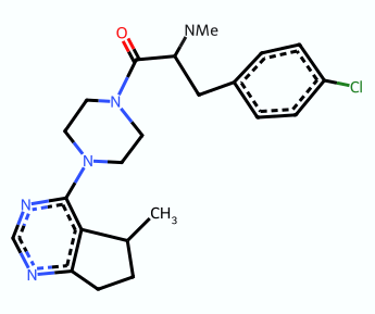 CNC(Cc1ccc(Cl)cc1)C(=O)N1CCN(c2ncnc3c2C(C)CC3)CC1